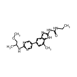 CCNC(=O)Nc1nc2cc(-c3cnc(NC(C)COC)nc3)cc(C)c2[nH]1